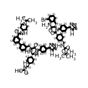 CC(C)(C)OC(=O)NC[C@H]1CC[C@H](C(=O)N(c2ccc(-c3nnn[nH]3)cc2)[C@@H](Cc2cccc(Br)c2)C(N)=O)CC1.CC(C)N1CCC(NC(=O)c2cccc(-c3cccc(C[C@H](NC(=O)[C@H]4CC[C@H](CNC(=O)O)CC4)C(=O)Nc4ccc(-c5nnn[nH]5)cc4)c3)c2)CC1